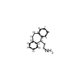 NCCC1c2ccccc2CCc2ccccc21